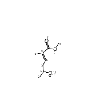 COC(=O)C(C)=CCC(C)O